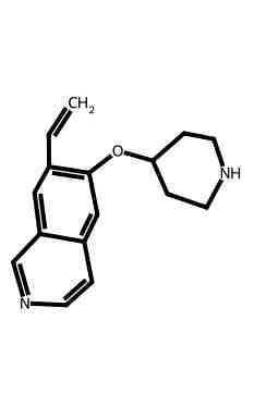 C=Cc1cc2cnccc2cc1OC1CCNCC1